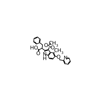 Cc1c(OCc2ccccn2)ccc2[nH]c(C(Cc3ccccc3)C(=O)O)c(S(C)(=O)=O)c12